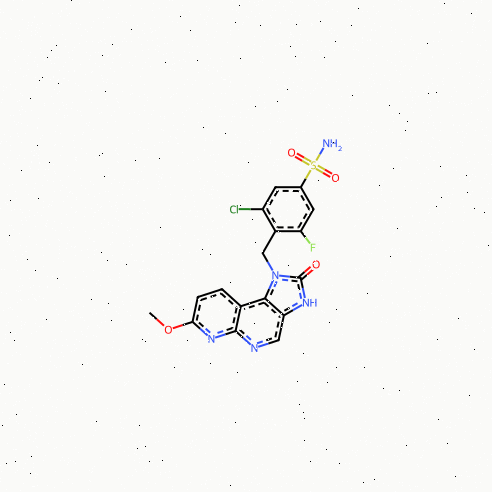 COc1ccc2c(ncc3[nH]c(=O)n(Cc4c(F)cc(S(N)(=O)=O)cc4Cl)c32)n1